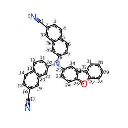 N#Cc1ccc2ccc(N(c3ccc4ccc(C#N)cc4c3)c3ccc4oc5ccccc5c4c3)cc2c1